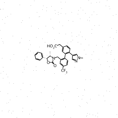 C[C@H]1[C@@H](c2ccccc2)OC(=O)N1Cc1cc(C(F)(F)F)ccc1-c1cc(CC(=O)O)ccc1-c1cnn(C)c1